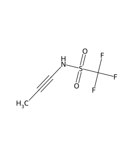 CC#CNS(=O)(=O)C(F)(F)F